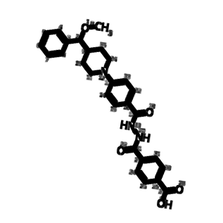 COC(c1ccccc1)C1CCN(c2ccc(C(=O)NNC(=O)c3ccc(C(=O)O)cc3)cc2)CC1